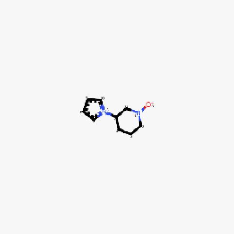 [O-][N+]1CCCC(n2cccc2)C1